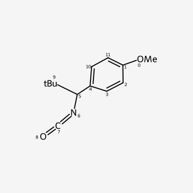 COc1ccc(C(N=C=O)C(C)(C)C)cc1